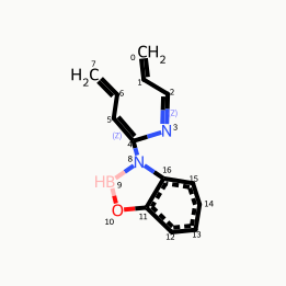 C=C/C=N\C(=C/C=C)N1BOc2ccccc21